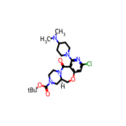 CN(C)C1CCN(c2nc(Cl)cc3c2C(=O)N2CCN(C(=O)OC(C)(C)C)C[C@@H]2CO3)CC1